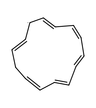 [CH]1/C=C/C=C\C=C\C=C\C=C/C/C=C/1